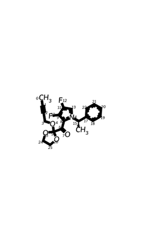 CC#CCOC1(C(=O)c2c(F)c(F)cn2[C@H](C)c2ccccc2)OCCO1